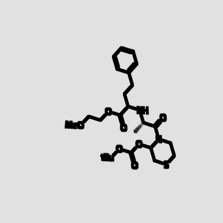 COCCOC(=O)C(CCc1ccccc1)N[C@@H](C)C(=O)N1CCSCC1OC(=O)OC(C)(C)C